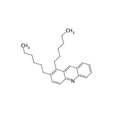 CCCCCCc1ccc2nc3ccccc3cc2c1CCCCCC